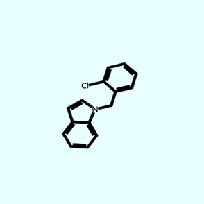 Clc1ccccc1Cn1ccc2ccccc21